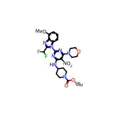 COc1cccc2c1nc(C(F)F)n2-c1nc(NC2CCN(C(=O)OC(C)(C)C)CC2)c([N+](=O)[O-])c(N2CCOCC2)n1